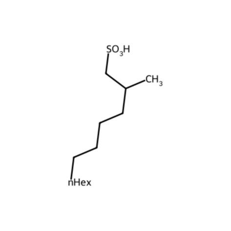 CCCCCCCCCCC(C)CS(=O)(=O)O